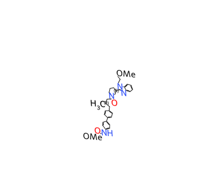 COCCCn1c([C@@H]2CCCN(C(=O)C[C@H](C)Cc3ccc(-c4ccc(NC(=O)OC)cc4)cc3)C2)nc2ccccc21